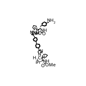 COC(=O)N[C@@H](C(C)C)C(C)N1CCC[C@H]1C1=NCC(c2ccc(-c3ccc(-c4cnc([C@@H]5CCCN5C(=O)[C@H](Cc5ccc(CN)cc5)NC(=O)OC)[nH]4)cc3)cc2)=N1